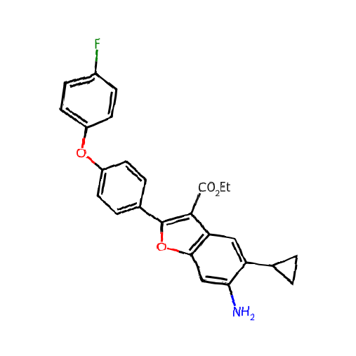 CCOC(=O)c1c(-c2ccc(Oc3ccc(F)cc3)cc2)oc2cc(N)c(C3CC3)cc12